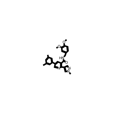 COc1ccc(CNC(=O)c2cc(-c3cc(C)cc(C)c3)cnc2-c2cnn(C)c2)cc1OC